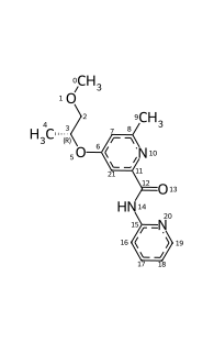 COC[C@@H](C)Oc1cc(C)nc(C(=O)Nc2ccccn2)c1